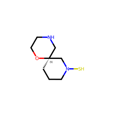 SN1CCC[C@]2(CNCCO2)C1